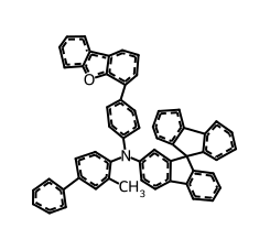 Cc1cc(-c2ccccc2)ccc1N(c1ccc(-c2cccc3c2oc2ccccc23)cc1)c1ccc2c(c1)C1(c3ccccc3-c3ccccc31)c1ccccc1-2